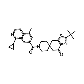 Cc1cc(C(=O)N2CCC3(CC2)CC(=O)c2nc(C(C)(C)C)sc2C3)cc2c(C3CC3)nccc12